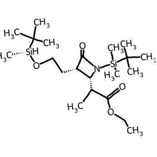 CCOC(=O)C(C)[C@@H]1[C@H](CCO[Si@H](C)C(C)(C)C)C(=O)N1[Si](C)(C)C(C)(C)C